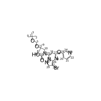 CC(C)(C)OCOC(C)(C)CN(C(=O)O)c1cc(Oc2cccnc2)nc2c(Br)cnn12